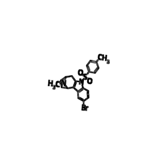 Cc1ccc(S(=O)(=O)n2c3c(c4cc(Br)ccc42)C2CCC(C3)N2C)cc1